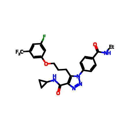 CCNC(=O)c1ccc(-n2nnc(C(=O)NC3CC3)c2CCCOc2cc(F)cc(C(F)(F)F)c2)cc1